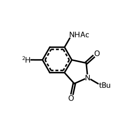 [2H]c1cc(NC(C)=O)c2c(c1)C(=O)N(C(C)(C)C)C2=O